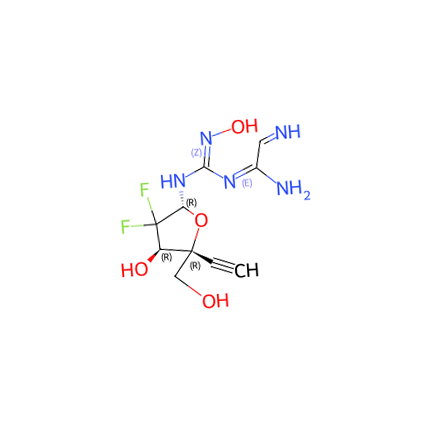 C#C[C@]1(CO)O[C@@H](NC(=N/O)/N=C(/N)C=N)C(F)(F)[C@@H]1O